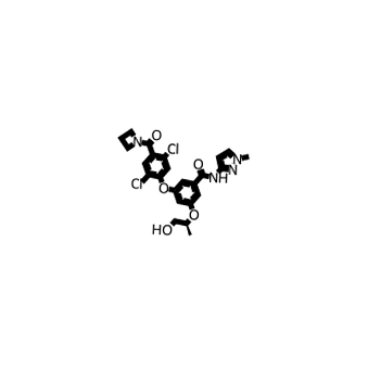 C[C@@H](CO)Oc1cc(Oc2cc(Cl)c(C(=O)N3CCC3)cc2Cl)cc(C(=O)Nc2ccn(C)n2)c1